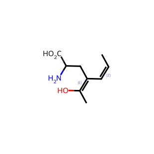 C/C=C\C(CC(N)C(=O)O)=C(/C)O